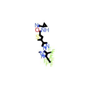 Cn1nc(C(F)(F)C(F)(F)F)c(C(F)(F)F)c1-n1cc(-c2csc(C(=O)NC3(C#N)CC3)c2)cn1